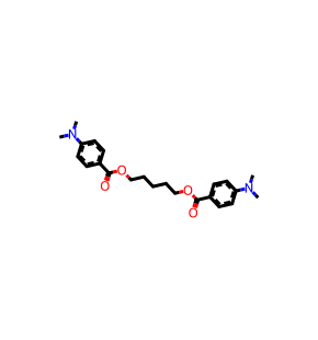 CN(C)c1ccc(C(=O)OCCCCCOC(=O)c2ccc(N(C)C)cc2)cc1